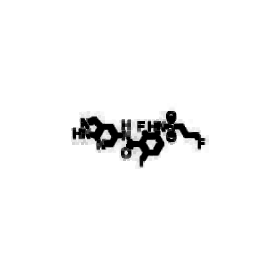 O=C(Nc1cnc2[nH]ncc2c1)c1c(I)ccc(NS(=O)(=O)CCCF)c1F